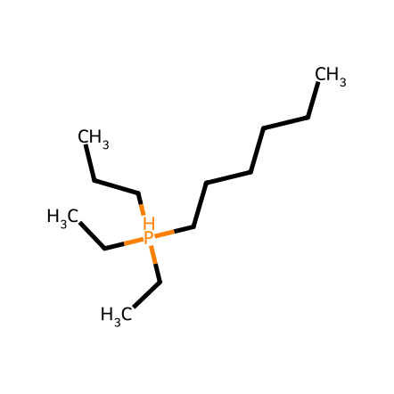 CCCCCC[PH](CC)(CC)CCC